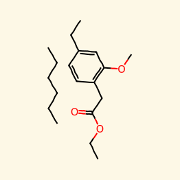 CCCCCC.CCOC(=O)Cc1ccc(CC)cc1OC